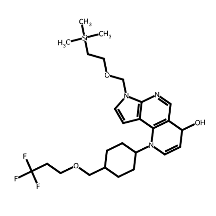 C[Si](C)(C)CCOCn1ccc2c3c(cnc21)C(O)C=CN3C1CCC(COCCC(F)(F)F)CC1